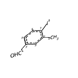 Cc1cc(C=O)ccc1I